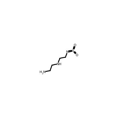 NCCNCCN=S(=O)=O